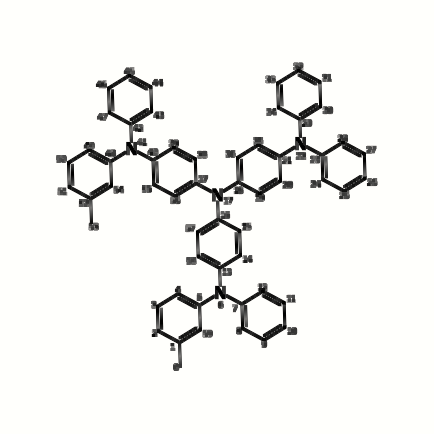 Cc1cccc(N(c2ccccc2)c2ccc(N(c3ccc(N(c4ccccc4)c4ccccc4)cc3)c3ccc(N(c4ccccc4)c4cccc(C)c4)cc3)cc2)c1